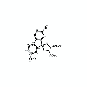 CCCCCCCCCCCCC1(CCCCCCCCCCCC)c2cc(Br)ccc2-c2ccc(C=O)cc21